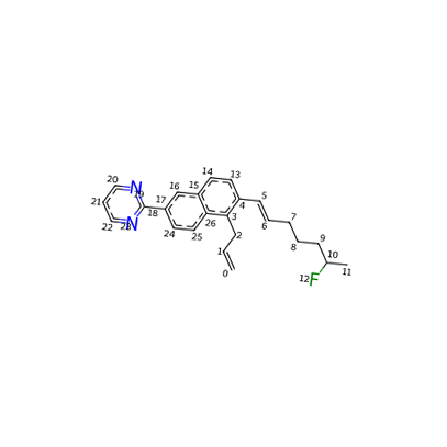 C=CCc1c(C=CCCCC(C)F)ccc2cc(-c3ncccn3)ccc12